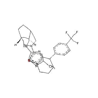 Cc1cc(N2CC3CC[C@@H](C2)[C@@H]3Nc2nc3n(n2)CCCC3c2ccc(C(F)(F)F)cc2)sn1